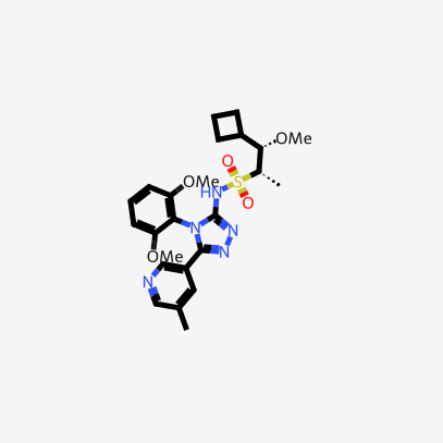 COc1cccc(OC)c1-n1c(NS(=O)(=O)[C@@H](C)[C@@H](OC)C2CCC2)nnc1-c1cncc(C)c1